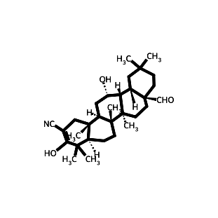 CC1(C)CC[C@]2(C=O)CC[C@]3(C)[C@H]([C@@H](O)C[C@@H]4[C@@]5(C)CC(C#N)=C(O)C(C)(C)[C@@H]5CC[C@]43C)[C@@H]2C1